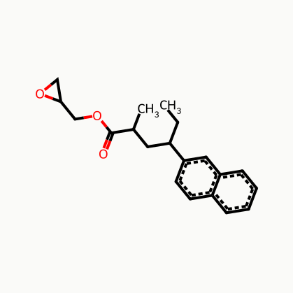 CCC(CC(C)C(=O)OCC1CO1)c1ccc2ccccc2c1